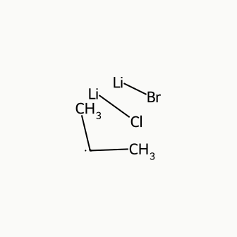 C[CH]C.[Li][Br].[Li][Cl]